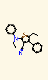 CCc1sc(N(CC)c2ccccc2)c(C#N)c1-c1ccccc1